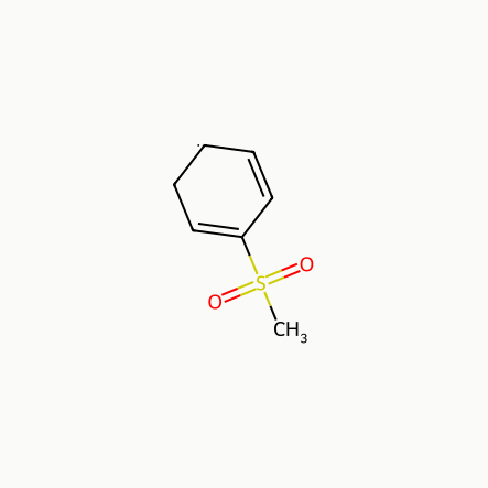 CS(=O)(=O)C1=CC[CH]C=C1